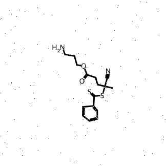 CC(C#N)(CCC(=O)OCCCN)SC(=S)c1ccccc1